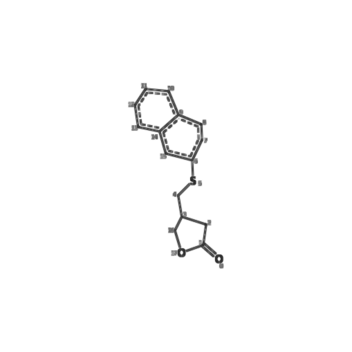 O=C1CC(CSc2ccc3ccccc3c2)CO1